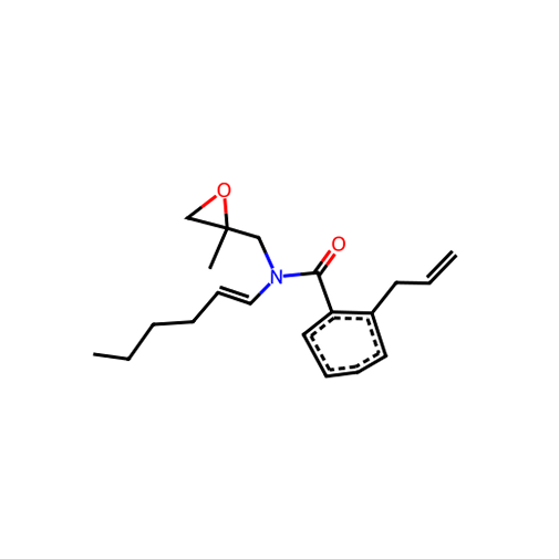 C=CCc1ccccc1C(=O)N(C=CCCCC)CC1(C)CO1